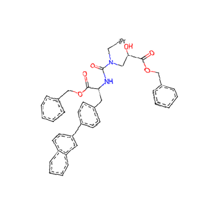 CC(C)CN(CC(O)C(=O)OCc1ccccc1)C(=O)NC(Cc1ccc(-c2ccc3ccccc3c2)cc1)C(=O)OCc1ccccc1